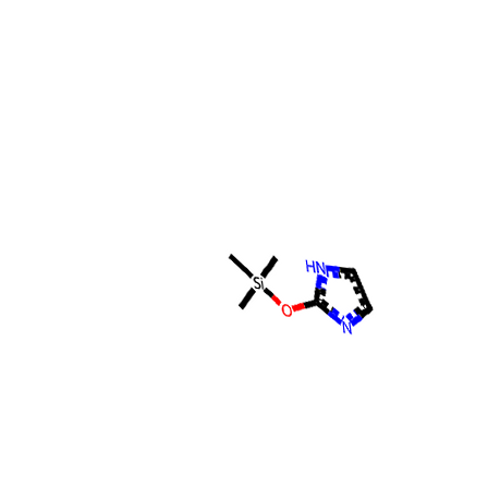 C[Si](C)(C)Oc1ncc[nH]1